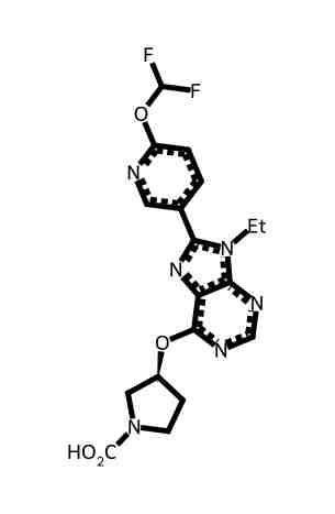 CCn1c(-c2ccc(OC(F)F)nc2)nc2c(O[C@H]3CCN(C(=O)O)C3)ncnc21